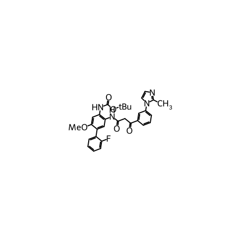 COc1cc(NC(=O)OC(C)(C)C)c(NC(=O)CC(=O)c2cccc(-n3ccnc3C)c2)cc1-c1ccccc1F